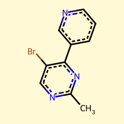 Cc1ncc(Br)c(-c2cccnc2)n1